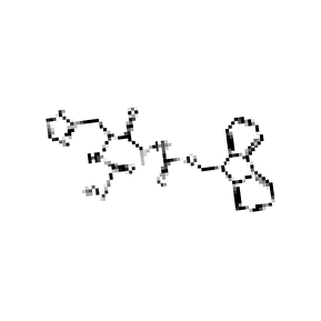 O=C(NNC(=O)C(Cc1nccs1)NC(=O)C(=O)O)OCC1c2ccccc2-c2ccccc21